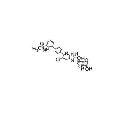 CS(=N)(=O)c1cccc(-c2ccc(-c3nc4[nH]c(O[C@@H]5CO[C@H]6[C@@H]5OC[C@H]6O)nc4cc3Cl)cc2)c1